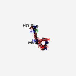 CC[C@H]1OC(=O)[C@H](C)[C@@H](O[C@H]2C[C@@](C)(OC)C(NC(=O)CCOCCOCCNc3cc4c(=O)c(C(=O)O)cn(C5CC5)c4cc3Cl)[C@H](C)O2)[C@H](C)[C@@H](O[C@@H]2O[C@H](C)C[C@H](N(C)C)[C@H]2O)[C@](C)(O)C[C@@H](C)CN(C)[C@@H](C)[C@@H](O)[C@]1(C)O